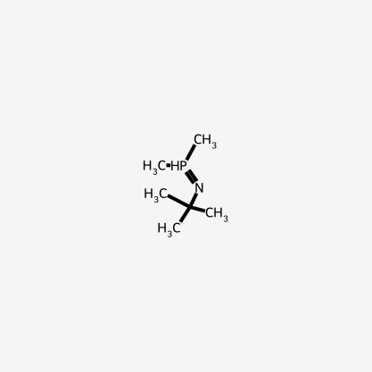 C[PH](C)=NC(C)(C)C